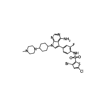 CN1CCN(C2CCC(n3cc(-c4ccc(NS(=O)(=O)c5sc(Cl)cc5Br)c(F)c4)c4c(N)ncnc43)CC2)CC1